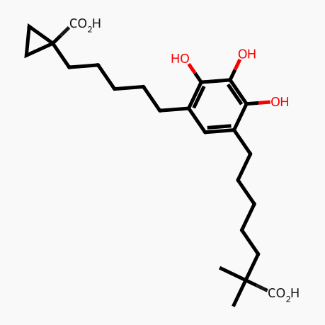 CC(C)(CCCCCc1cc(CCCCCC2(C(=O)O)CC2)c(O)c(O)c1O)C(=O)O